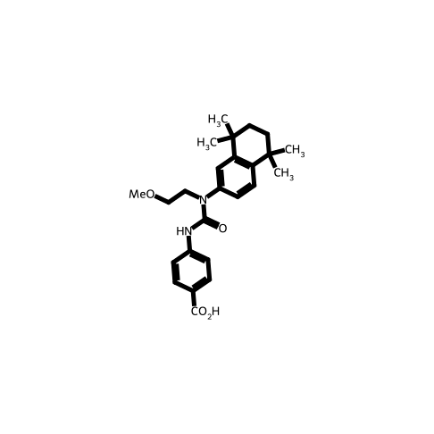 COCCN(C(=O)Nc1ccc(C(=O)O)cc1)c1ccc2c(c1)C(C)(C)CCC2(C)C